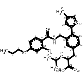 CCCOc1ccc(C(=O)NCc2cc(CC(OC(C)C)C(=O)O)ccc2-c2cc(C)cs2)c(Cl)c1